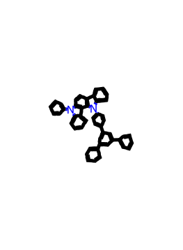 c1ccc(-c2cc(-c3ccccc3)cc(-c3ccc(-n4c5ccccc5c5ccc6c(c7ccccc7n6-c6ccccc6)c54)cc3)c2)cc1